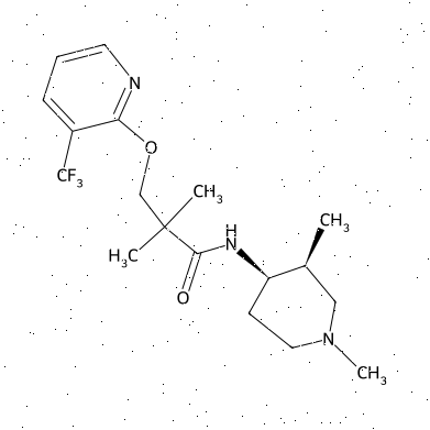 C[C@H]1CN(C)CC[C@H]1NC(=O)C(C)(C)COc1ncccc1C(F)(F)F